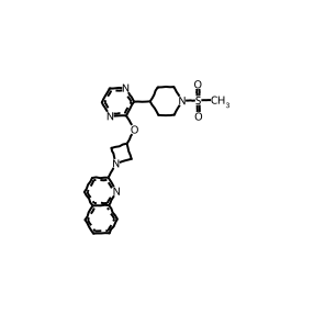 CS(=O)(=O)N1CCC(c2nccnc2OC2CN(c3ccc4ccccc4n3)C2)CC1